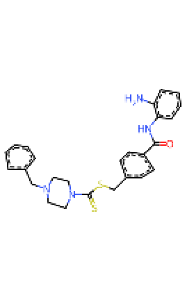 Nc1ccccc1NC(=O)c1ccc(CSC(=S)N2CCN(Cc3ccccc3)CC2)cc1